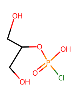 O=P(O)(Cl)OC(CO)CO